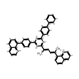 C/C(=C\C=C(/C)c1cccc2cccnc12)c1nc(-c2ccc(-c3ccccc3)cc2)nc(-c2ccc(-c3cccc4cccnc34)cc2)n1